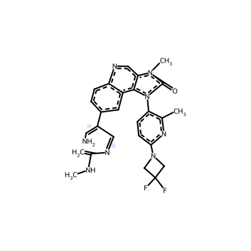 C=C(/N=C\C(=C/N)c1ccc2ncc3c(c2c1)n(-c1ccc(N2CC(F)(F)C2)nc1C)c(=O)n3C)NC